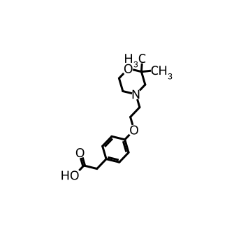 CC1(C)CN(CCOc2ccc(CC(=O)O)cc2)CCO1